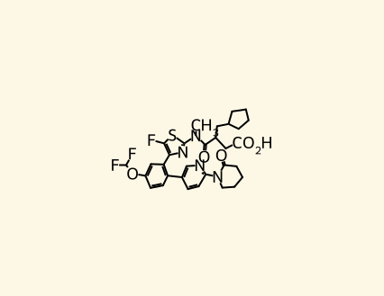 CN(C(=O)C(CC(=O)O)CC1CCCC1)c1nc(-c2cc(OC(F)F)ccc2-c2ccc(N3CCCCC3=O)nc2)c(F)s1